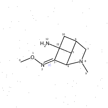 CO/N=C1/C2C3C(CN2C)CC13N